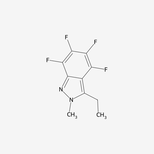 CCc1c2c(F)c(F)c(F)c(F)c2nn1C